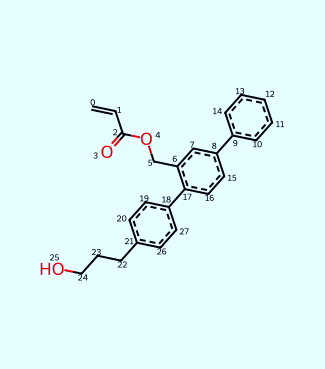 C=CC(=O)OCc1cc(-c2ccccc2)ccc1-c1ccc(CCCO)cc1